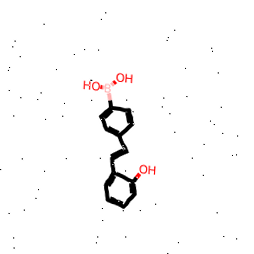 OB(O)c1ccc(/C=C/c2ccccc2O)cc1